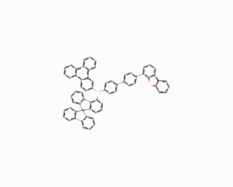 c1ccc2c(c1)-c1ccccc1C21c2ccccc2-c2c(N(c3ccc(-c4ccc(-c5cccc6c5oc5ccccc56)cc4)cc3)c3ccc4c5ccccc5c5ccccc5c4c3)cccc21